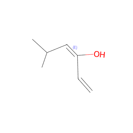 C=C/C(O)=C\C(C)C